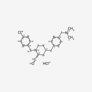 CN(C)Cc1ccc(CC2CCN(Sc3ccc(Cl)cc3)C(=C=O)C2)cc1.Cl